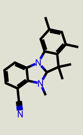 Cc1cc(C)c2c(c1)N1c3cccc(C#N)c3N(C)C1C2(C)C